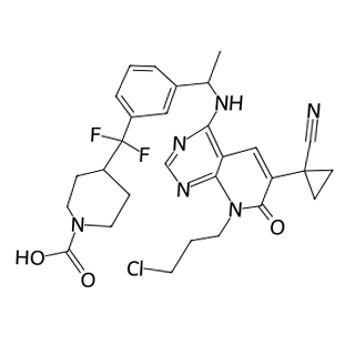 CC(Nc1ncnc2c1cc(C1(C#N)CC1)c(=O)n2CCCCl)c1cccc(C(F)(F)C2CCN(C(=O)O)CC2)c1